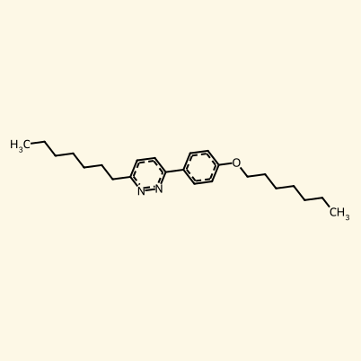 CCCCCCCOc1ccc(-c2ccc(CCCCCCC)nn2)cc1